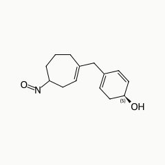 O=NC1CC=C(CC2=CC[C@H](O)C=C2)CCC1